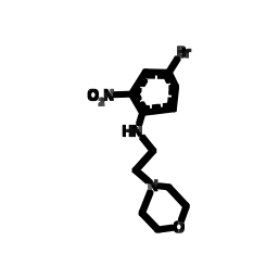 O=[N+]([O-])c1cc(Br)ccc1NCCN1CCOCC1